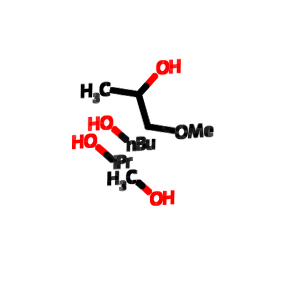 CC(C)O.CCCCO.CO.COCC(C)O